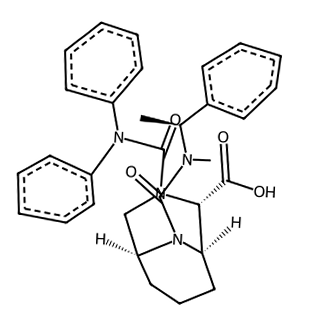 C[C@@H](c1ccccc1)N(C)C(=O)N1[C@H]2CCC[C@@H]1[C@@H](C(=O)O)N(C(=O)N(c1ccccc1)c1ccccc1)C2